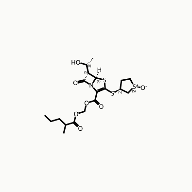 CCCC(C)C(=O)OCOC(=O)C1=C(S[C@H]2CC[S@@+]([O-])C2)S[C@@H]2[C@@H]([C@@H](C)O)C(=O)N12